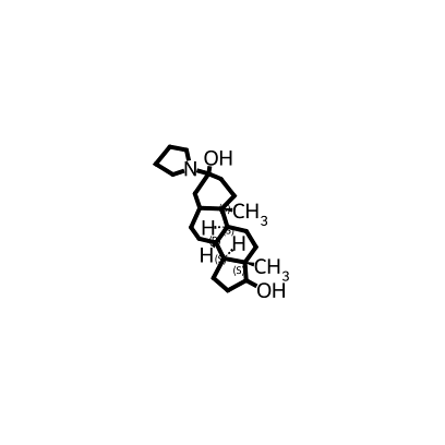 C[C@]12CCC(O)(N3CCCC3)CC1CC[C@@H]1[C@@H]2CC[C@]2(C)C(O)CC[C@@H]12